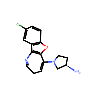 N[C@@H]1CCN(C2=CCC=Nc3c2oc2ccc(Cl)cc32)C1